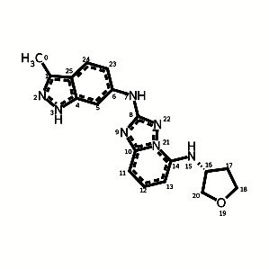 Cc1n[nH]c2cc(Nc3nc4cccc(N[C@@H]5CCOC5)n4n3)ccc12